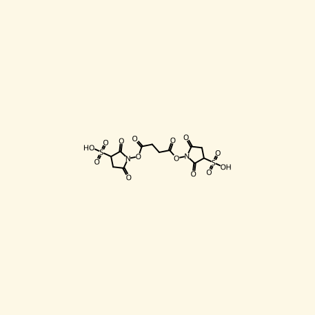 O=C(CCC(=O)ON1C(=O)CC(S(=O)(=O)O)C1=O)ON1C(=O)CC(S(=O)(=O)O)C1=O